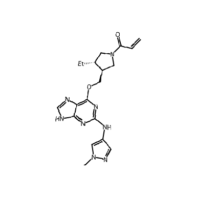 C=CC(=O)N1C[C@@H](CC)[C@H](COc2nc(Nc3cnn(C)c3)nc3[nH]cnc23)C1